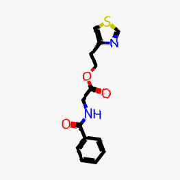 O=C(CNC(=O)c1ccccc1)OCCc1cscn1